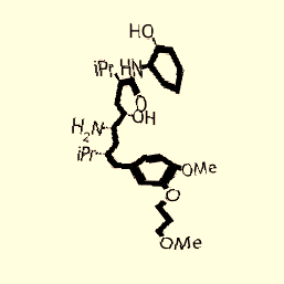 COCCCOc1cc(C[C@@H](C[C@H](N)[C@@H](O)C[C@H](C(=O)N[C@@H]2CCCC[C@H]2O)C(C)C)C(C)C)ccc1OC